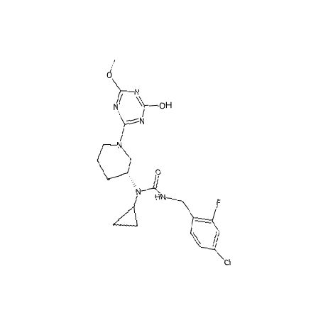 COc1nc(O)nc(N2CCC[C@@H](N(C(=O)NCc3ccc(Cl)cc3F)C3CC3)C2)n1